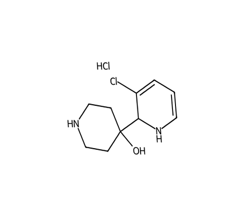 Cl.OC1(C2NC=CC=C2Cl)CCNCC1